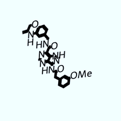 C=C1COc2ccc(CNC(=O)c3ncnc4c(NC(=O)Cc5cccc(OC)c5)n[nH]c34)cc2N1